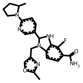 Cc1nc(CN2c3ccc(C(N)=O)c(F)c3NC2c2ccc(N3CCCC3C)nc2)co1